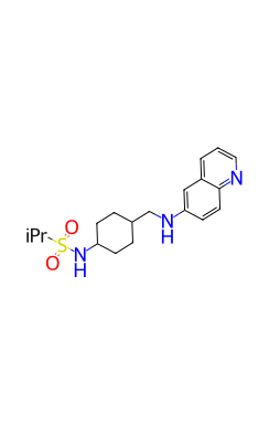 CC(C)S(=O)(=O)NC1CCC(CNc2ccc3ncccc3c2)CC1